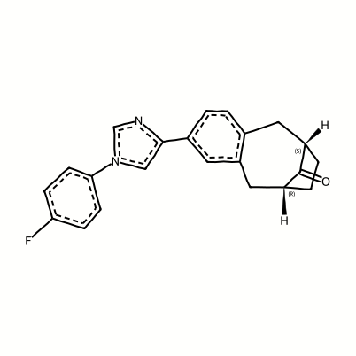 O=C1[C@@H]2CC[C@H]1Cc1ccc(-c3cn(-c4ccc(F)cc4)cn3)cc1C2